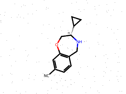 N#Cc1ccc2c(c1)OC[C@H](C1CC1)NC2